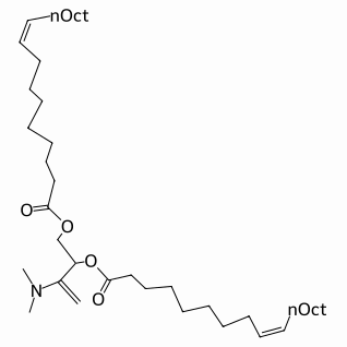 C=C(C(COC(=O)CCCCCCC/C=C\CCCCCCCC)OC(=O)CCCCCCC/C=C\CCCCCCCC)N(C)C